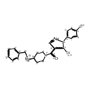 O=C(c1cnn(-c2ccc(Cl)cc2)c1C(F)(F)F)N1CCC(NCc2ccccc2)CC1